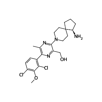 COc1c(Cl)ccc(-c2nc(CO)c(N3CCC4(CCC[C@H]4N)CC3)nc2C)c1Cl